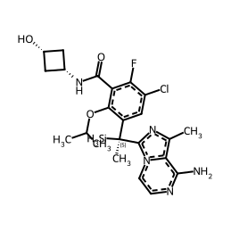 Cc1nc([C@@](C)([SiH3])c2cc(Cl)c(F)c(C(=O)N[C@H]3C[C@@H](O)C3)c2OC(C)C)n2ccnc(N)c12